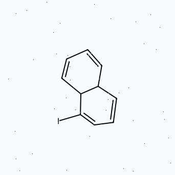 IC1=CC=CC2C=CC=CC12